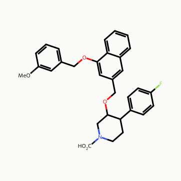 COc1cccc(COc2cc(COC3CN(C(=O)O)CCC3c3ccc(F)cc3)cc3ccccc23)c1